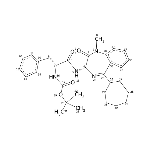 CN1C(=O)[C@@H](NC(=O)[C@@H](Cc2ccccc2)NC(=O)OC(C)(C)C)N=C(C2CCCCCC2)c2ccccc21